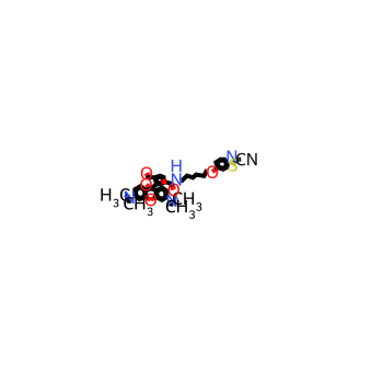 CN(C)c1ccc2c(c1)Oc1cc(N(C)C)ccc1C21OC(=O)c2ccc(C(=O)NCCCCCCOc3ccc4nc(C#N)sc4c3)cc21